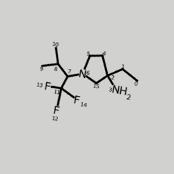 CCC1(N)CCN(C(C(C)C)C(F)(F)F)C1